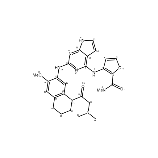 CNC(=O)c1occc1Nc1nc(Nc2cc3c(cc2OC)CCCN3C(=O)CN(C)C)nc2[nH]ccc12